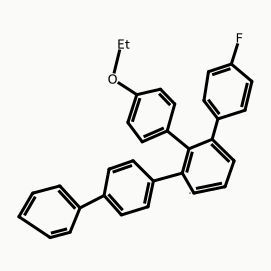 CCOc1ccc(-c2c(-c3ccc(-c4ccccc4)cc3)[c]ccc2-c2ccc(F)cc2)cc1